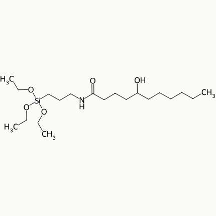 CCCCCCC(O)CCCC(=O)NCCC[Si](OCC)(OCC)OCC